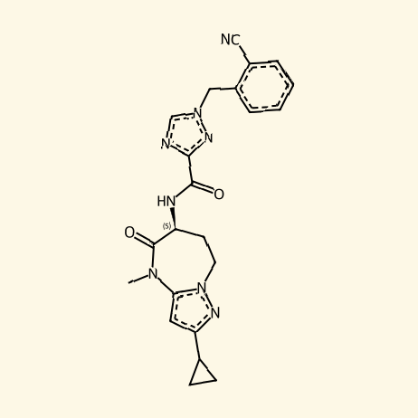 CN1C(=O)[C@@H](NC(=O)c2ncn(Cc3ccccc3C#N)n2)CCn2nc(C3CC3)cc21